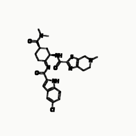 CN1CCc2nc(C(=O)N[C@@H]3C[C@H](C(=O)N(C)C)CC/C3=N\C(=O)c3cc4cc(Cl)ccc4[nH]3)sc2C1